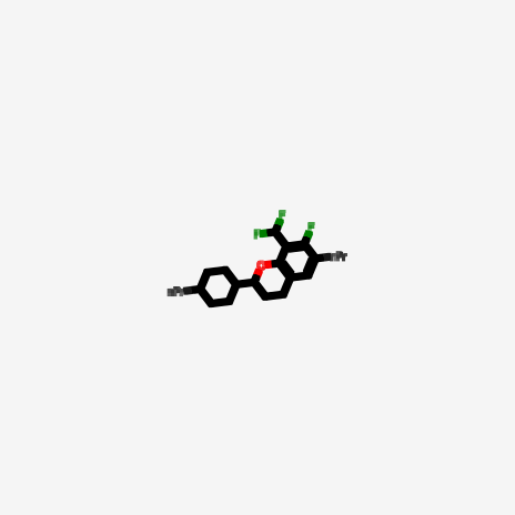 CCCc1cc2c(c(C(F)F)c1F)OC(C1CCC(CCC)CC1)CC2